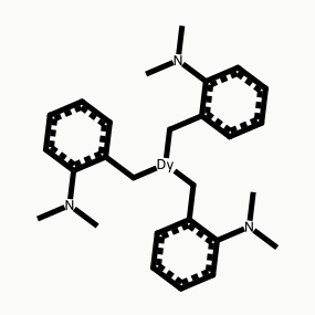 CN(C)c1ccccc1[CH2][Dy]([CH2]c1ccccc1N(C)C)[CH2]c1ccccc1N(C)C